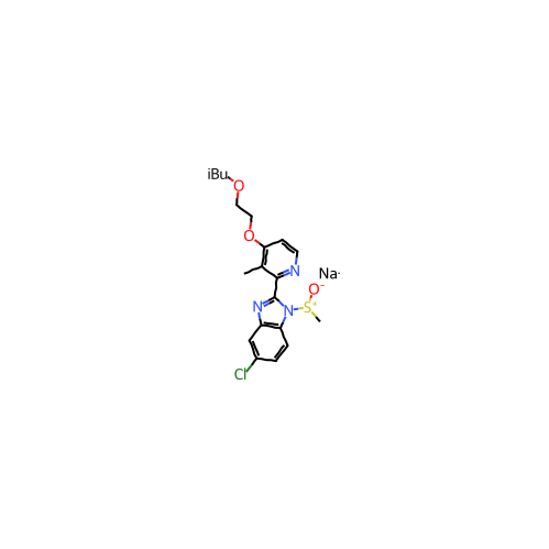 CCC(C)OCCOc1ccnc(-c2nc3cc(Cl)ccc3n2[S+](C)[O-])c1C.[Na]